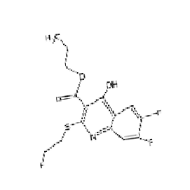 CCCOC(=O)c1c(SCCF)nc2cc(F)c(F)cc2c1O